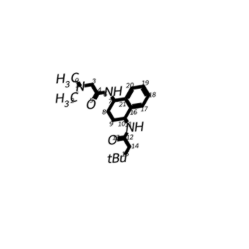 CN(C)CC(=O)NC1CCC(NC(=O)CC(C)(C)C)c2ccccc21